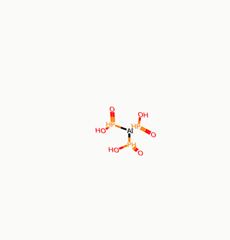 O=[PH](O)[Al]([PH](=O)O)[PH](=O)O